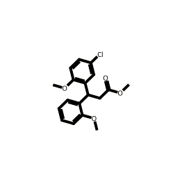 COC(=O)CC(c1ccccc1OC)c1cc(Cl)ccc1OC